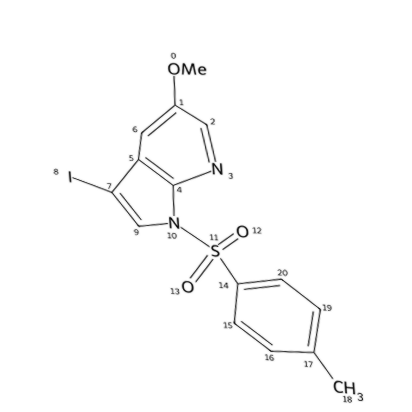 COc1cnc2c(c1)c(I)cn2S(=O)(=O)c1ccc(C)cc1